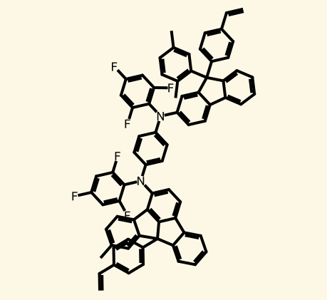 C=Cc1ccc(C2(c3cc(C)ccc3C)c3ccccc3-c3ccc(N(c4ccc(N(c5ccc6c7c5-c5ccc(C)cc5C7(c5ccc(C=C)cc5)c5ccccc5-6)c5c(F)cc(F)cc5F)cc4)c4c(F)cc(F)cc4F)cc32)cc1